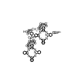 CNc1ccc(NC(C)=O)cc1S(=O)(=O)O.O=S(=O)([O-])c1cc2c3nc4nc(nc5[nH]c(nc6nc(nc([nH]3)c2c(S(=O)(=O)[O-])c1S(=O)(=O)[O-])-c1ccccc1-6)c1ccccc51)-c1ccccc1-4.O=S(=O)([O-])c1cc2c3nc4nc(nc5[nH]c(nc6nc(nc([nH]3)c2c(S(=O)(=O)[O-])c1S(=O)(=O)[O-])-c1ccccc1-6)c1ccccc51)-c1ccccc1-4.[Cu+2].[Cu+2].[Cu+2]